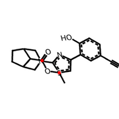 CCOC(=O)C1C2CCC1CN(c1nc(-c3cc(C#N)ccc3O)cs1)C2